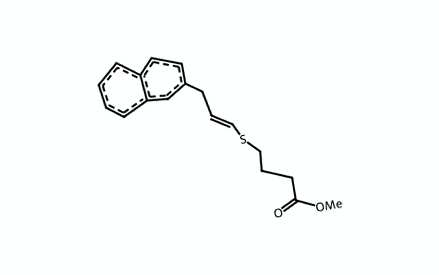 COC(=O)CCCSC=CCc1ccc2ccccc2c1